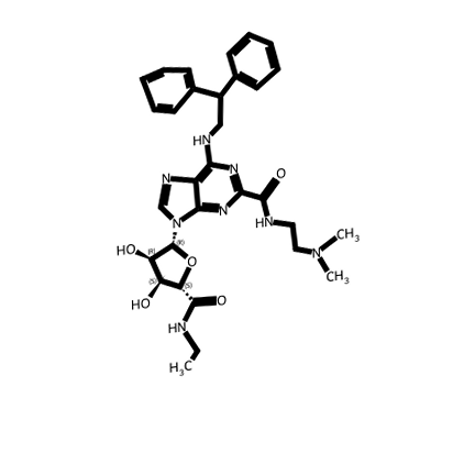 CCNC(=O)[C@H]1O[C@@H](n2cnc3c(NCC(c4ccccc4)c4ccccc4)nc(C(=O)NCCN(C)C)nc32)[C@H](O)[C@@H]1O